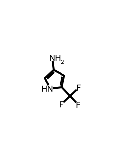 Nc1c[nH]c(C(F)(F)F)c1